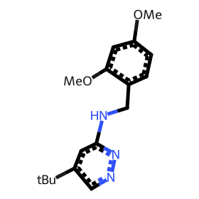 COc1ccc(CNc2cc(C(C)(C)C)cnn2)c(OC)c1